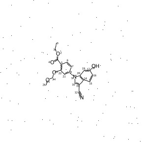 CCOC(=O)c1ccc(-n2cc(C#N)c3ccc(O)cc32)cc1OCOC